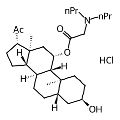 CCCN(CCC)CC(=O)O[C@H]1C[C@]2(C)[C@@H](C(C)=O)CC[C@H]2[C@@H]2CC[C@H]3C[C@H](O)CC[C@]3(C)[C@H]21.Cl